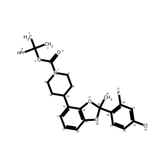 CCCC(C)(C)OC(=O)N1CCC(c2cccc3c2OC(C)(c2ccc(Cl)cc2F)O3)CC1